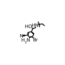 CCC(C)(C)NCC(O)c1cc(Br)c(N)c(C#N)c1